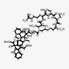 CCC(C(=O)OC)(c1cc2c(cc1OC)N(C)[C@@H]1[C@@](O)(C(=O)NNC(=O)OCCSSC[C@H](NC(=O)[C@H](CC(=O)O)NC(=O)[C@H](CC(=O)O)NC(=O)[C@H](CCCNC(=N)N)NC(=O)[C@@H](N)CC(=O)O)C(=O)O)[C@@H](O)[C@@]3(CC)C=CCN4CC[C@@]21C43)c1[nH]c2ccccc2c1CCNC